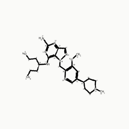 CCC[C@@H](CCO)Nc1nc(N)nc2cnn(Cc3ncc(C4CCN(C)CC4)cc3OC)c12